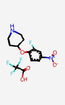 O=C(O)C(F)(F)F.O=[N+]([O-])c1ccc(OC2CCNCC2)c(F)c1